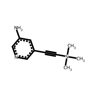 C[Si](C)(C)C#Cc1cncc(N)c1